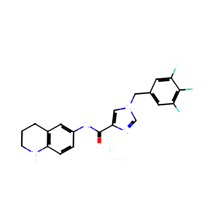 Cl.Cl.O=C(Nc1ccc2c(c1)CCCN2)c1cn(Cc2cc(F)c(F)c(F)c2)cn1